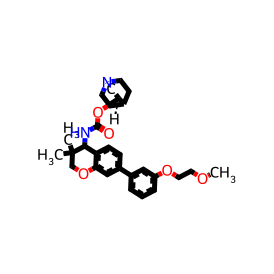 COCCOc1cccc(-c2ccc3c(c2)OCC(C)(C)C3NC(=O)O[C@H]2CN3CCC2CC3)c1